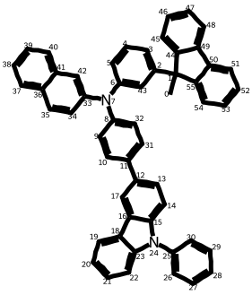 CC1(c2cccc(N(c3ccc(-c4ccc5c(c4)c4ccccc4n5-c4ccccc4)cc3)c3ccc4ccccc4c3)c2)c2ccccc2-c2ccccc21